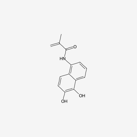 C=C(C)C(=O)Nc1cccc2c(O)c(O)ccc12